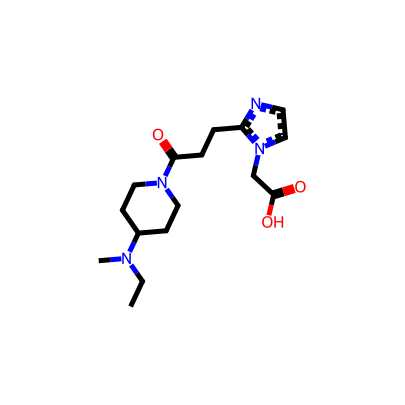 CCN(C)C1CCN(C(=O)CCc2nccn2CC(=O)O)CC1